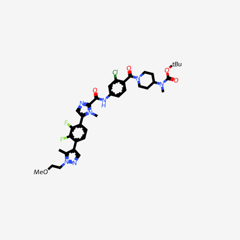 COCCn1ncc(-c2ccc(-c3cnc(C(=O)Nc4ccc(C(=O)N5CCC(N(C)C(=O)OC(C)(C)C)CC5)c(Cl)c4)n3C)c(F)c2F)c1C